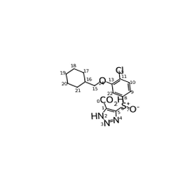 O=C(O)c1[nH]nnc1[S+]([O-])c1ccc(Cl)c(OCC2CCCCC2)c1